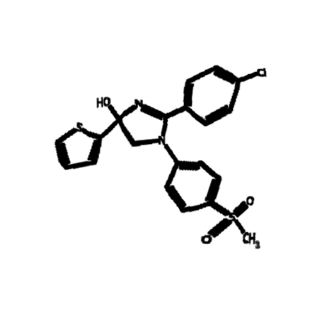 CS(=O)(=O)c1ccc(N2CC(O)(c3cccs3)N=C2c2ccc(Cl)cc2)cc1